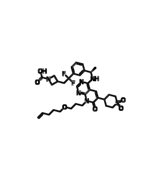 C=CCCCOCCCn1c(=O)c(C2CCS(=O)(=O)CC2)cc2c(N[C@H](C)c3cccc(C(F)(F)CC4CN(C(=O)O)C4)c3)ncnc21